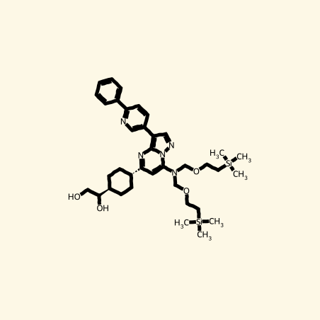 C[Si](C)(C)CCOCN(COCC[Si](C)(C)C)c1cc([C@H]2CC[C@H](C(O)CO)CC2)nc2c(-c3ccc(-c4ccccc4)nc3)cnn12